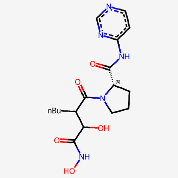 CCCCC(C(=O)N1CCC[C@H]1C(=O)Nc1ccncn1)C(O)C(=O)NO